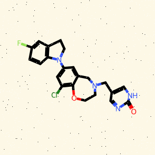 O=c1ncc(CN2CCOc3c(Cl)cc(N4CCc5cc(F)ccc54)cc3C2)c[nH]1